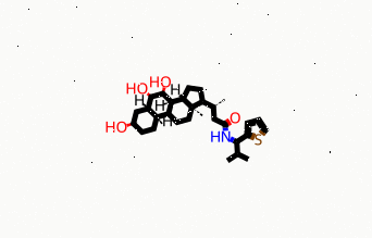 CC(C)C(NC(=O)C[C@@H](C)C1CC[C@H]2[C@@H]3[C@H](O)[C@H](O)[C@@H]4C[C@H](O)CC[C@]4(C)[C@H]3CC[C@]12C)c1cccs1